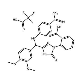 COc1ccc(C(Nc2ccc(C(=N)N)cc2)c2nn(-c3ccccc3C(=O)O)c(=O)[nH]2)cc1OC.O=C(O)C(F)(F)F